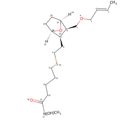 CC=CCOC[C@H]1[C@@H](CCSCCCCC(=O)N(C)O)[C@H]2CC[C@@H]1O2